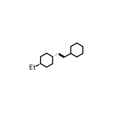 CC[C@H]1CC[C@H](/C=C/C2CCCCC2)CC1